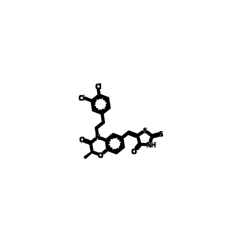 C[C@@H]1Oc2ccc(C=C3SC(=S)NC3=O)cc2N(CCc2ccc(Cl)c(Cl)c2)C1=O